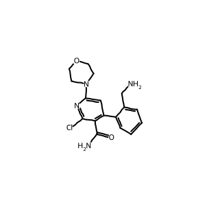 NCc1ccccc1-c1cc(N2CCOCC2)nc(Cl)c1C(N)=O